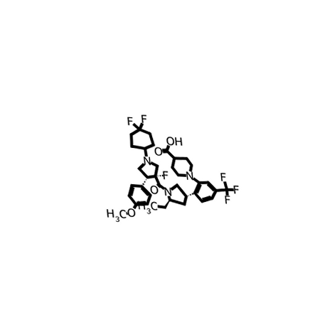 CC[C@@H]1C[C@@H](c2ccc(C(F)(F)F)cc2N2CCC(C(=O)O)CC2)CN1C(=O)[C@]1(F)CN(C2CCC(F)(F)CC2)C[C@H]1c1ccc(OC)cc1